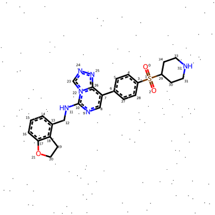 O=S(=O)(c1ccc(-c2cnc(NCc3cccc4c3CCO4)n3cnnc23)cc1)C1CCNCC1